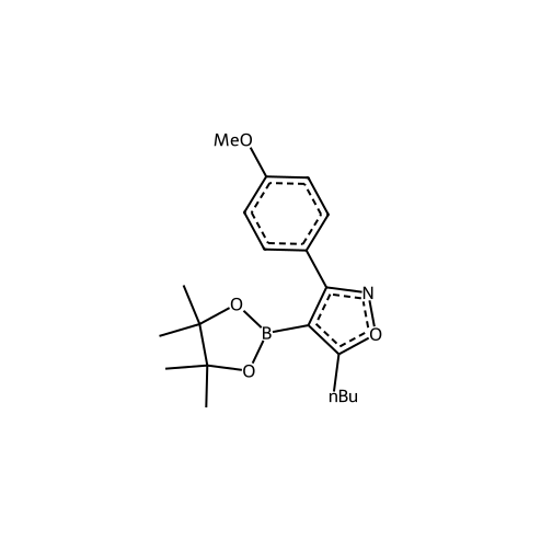 CCCCc1onc(-c2ccc(OC)cc2)c1B1OC(C)(C)C(C)(C)O1